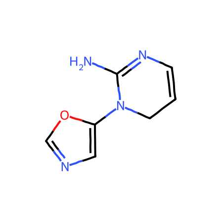 NC1=NC=CCN1c1cnco1